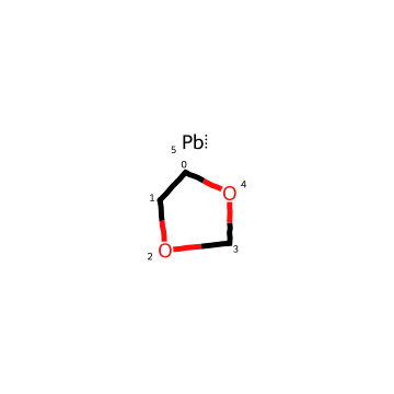 C1COCO1.[Pb]